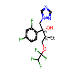 CC[C@@H](COC(F)(F)C(F)F)[C@](O)(Cn1cncn1)c1ccc(F)cc1F